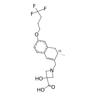 C[C@H]1Cc2cc(OCCCC(F)(F)F)ccc2C=C1CN1CC(O)(C(=O)O)C1